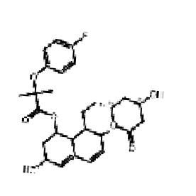 CC1C=CC2=CC(O)CC(OC(=O)C(C)(C)Oc3ccc(F)cc3)C2C1CC[C@@H]1C[C@@H](O)CC(=O)O1